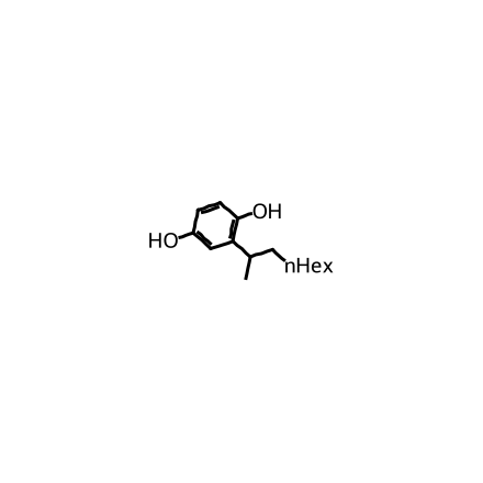 CCCCCCCC(C)c1cc(O)ccc1O